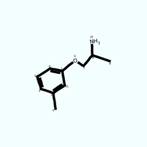 Cc1cccc(OCC(C)N)c1